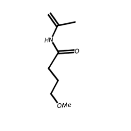 C=C(C)NC(=O)CCCOC